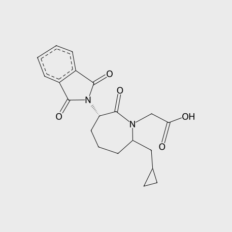 O=C(O)CN1C(=O)[C@@H](N2C(=O)c3ccccc3C2=O)CCCC1CC1CC1